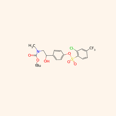 CN(CC(O)c1ccc(OS(=O)(=O)c2ccc(C(F)(F)F)cc2Cl)cc1)C(=O)OC(C)(C)C